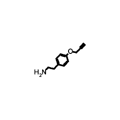 C#CCOc1ccc(CCN)cc1